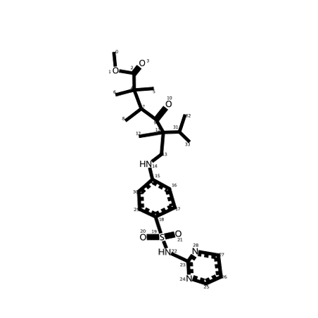 COC(=O)C(C)(C)C(C)C(=O)C(C)(CNc1ccc(S(=O)(=O)Nc2ncccn2)cc1)C(C)C